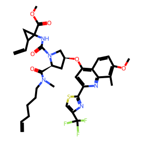 C=CCCCCN(C)C(=O)[C@@H]1C[C@H](Oc2cc(-c3nc(C(F)(F)F)cs3)nc3c(C)c(OC)ccc23)CN1C(=O)NC1(C(=O)OC)CC1C=C